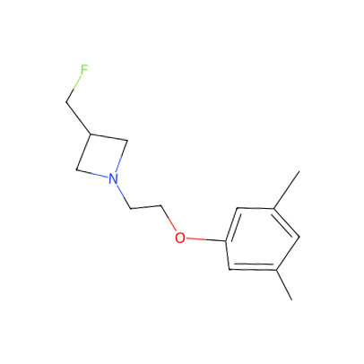 Cc1cc(C)cc(OCCN2CC(CF)C2)c1